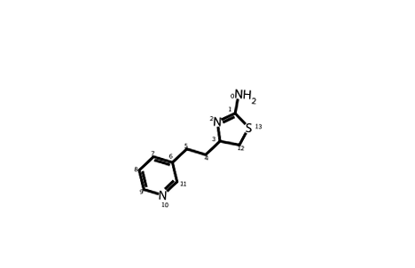 NC1=NC(CCc2cccnc2)CS1